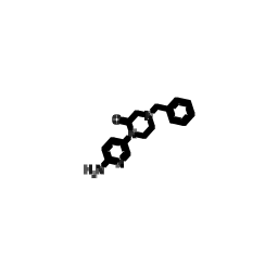 Nc1ccc(N2CCN(Cc3ccccc3)CC2=O)cn1